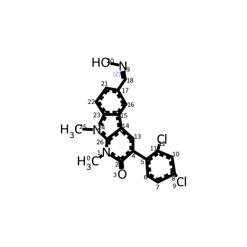 Cn1c(=O)c(-c2ccc(Cl)cc2Cl)cc2c3cc(/C=N\O)ccc3n(C)c21